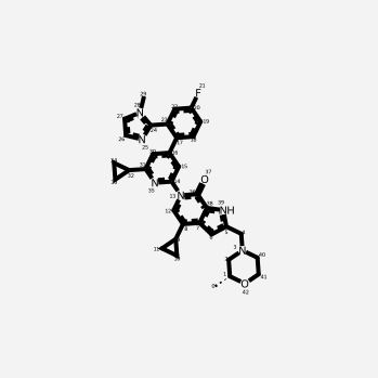 C[C@@H]1CN(Cc2cc3c(C4CC4)cn(-c4cc(-c5ccc(F)cc5-c5nccn5C)cc(C5CC5)n4)c(=O)c3[nH]2)CCO1